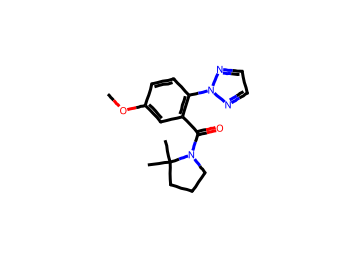 COc1ccc(-n2nccn2)c(C(=O)N2CCCC2(C)C)c1